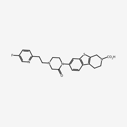 O=C(O)N1CCc2c(sc3cc(N4CCN(CCc5ccc(F)cn5)CC4=O)ccc23)C1